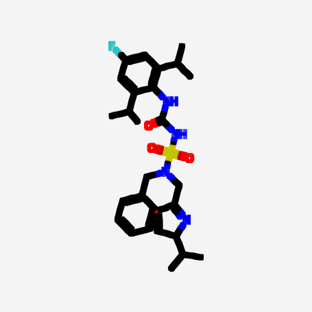 CC(C)c1cc(F)cc(C(C)C)c1NC(=O)NS(=O)(=O)N(CC1=NC(C(C)C)C=C1)Cc1ccccc1